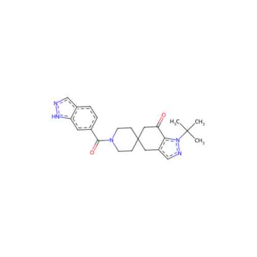 CC(C)(C)n1ncc2c1C(=O)CC1(CCN(C(=O)c3ccc4cn[nH]c4c3)CC1)C2